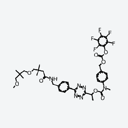 COCC(C)(C)COCC(C)(C)CC(=O)NCc1ccc(-c2nnc(C(C)OC(=O)N(C)c3ccc(COC(=O)Oc4c(F)c(F)c(F)c(F)c4F)cc3)nn2)cc1